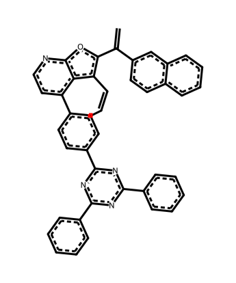 C=C(c1ccc2ccccc2c1)c1oc2nccc(-c3ccc(-c4nc(-c5ccccc5)nc(-c5ccccc5)n4)cc3)c2c1/C=C\C